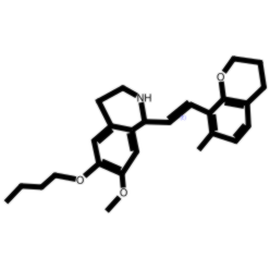 CCCCOc1cc2c(cc1OC)C(/C=C/c1c(C)ccc3c1OCCC3)NCC2